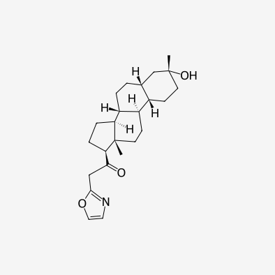 C[C@@]1(O)CC[C@H]2[C@H](CC[C@@H]3[C@@H]2CC[C@]2(C)[C@@H](C(=O)Cc4ncco4)CC[C@@H]32)C1